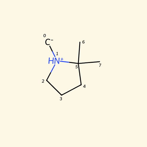 [CH2-][NH+]1CCCC1(C)C